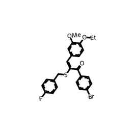 CCOc1ccc(/C=C(/SCc2ccc(F)cc2)C(=O)c2ccc(Br)cc2)cc1OC